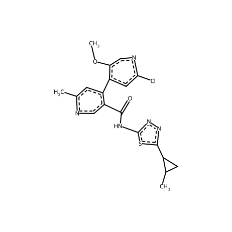 COc1cnc(Cl)cc1-c1cc(C)ncc1C(=O)Nc1nnc(C2CC2C)s1